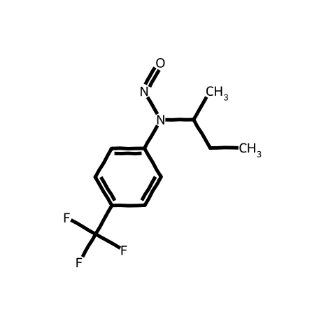 CCC(C)N(N=O)c1ccc(C(F)(F)F)cc1